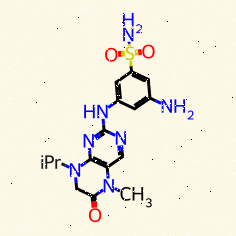 CC(C)N1CC(=O)N(C)c2cnc(Nc3cc(N)cc(S(N)(=O)=O)c3)nc21